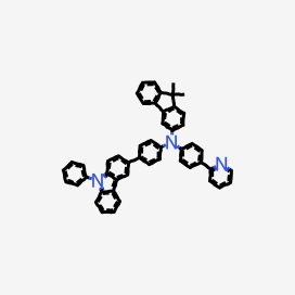 CC1(C)c2ccccc2-c2cc(N(c3ccc(-c4ccc5c(c4)c4ccccc4n5-c4ccccc4)cc3)c3ccc(-c4ccccn4)cc3)ccc21